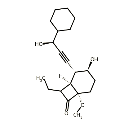 CCC1C(=O)[C@]2(OC)CC[C@H](O)[C@@H](C#C[C@@H](O)C3CCCCC3)[C@H]12